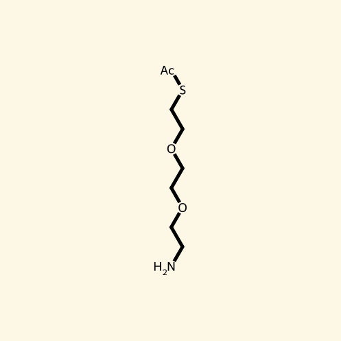 CC(=O)SCCOCCOCCN